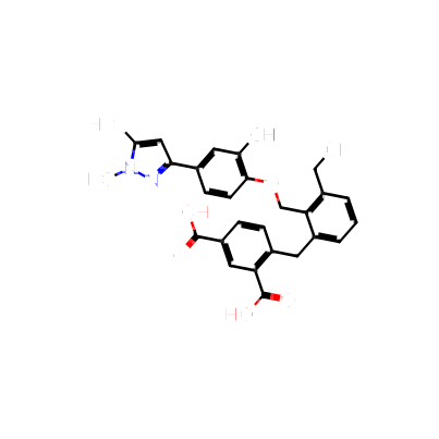 CCc1cccc(Cc2ccc(C(=O)O)cc2C(=O)O)c1COc1ccc(-c2cc(C)n(C)n2)cc1C